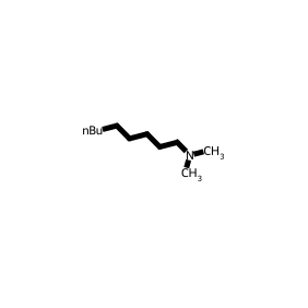 CCCCCCCC[CH]N(C)C